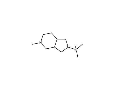 CN1CCC2CN([SH](C)C)CC2C1